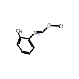 CCO/C=N/c1c[c]ccc1C#N